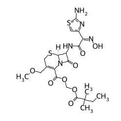 CCC(C)(C)C(=O)OCOC(=O)C1=C(COC)CS[C@H]2C(NC(=O)/C(=N\O)c3csc(N)n3)C(=O)N12